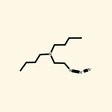 CCCCN(CCCC)CCN=[N+]=[N-]